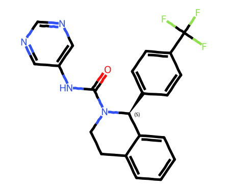 O=C(Nc1cncnc1)N1CCc2ccccc2[C@@H]1c1ccc(C(F)(F)F)cc1